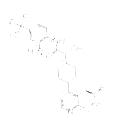 C[C@@H](C(=O)Nc1ccc(C(F)(F)F)cc1N)C1CCC(c2ccnc3ccc(F)cc23)CC1